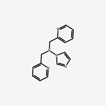 c1ccc(CN(Cc2ccccn2)n2ccnc2)nc1